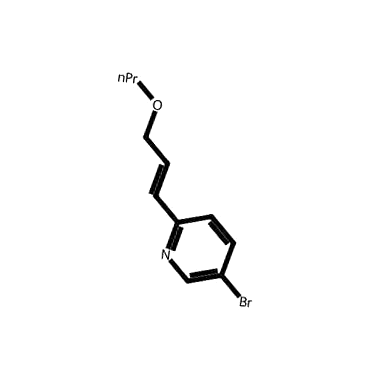 CCCOCC=Cc1ccc(Br)cn1